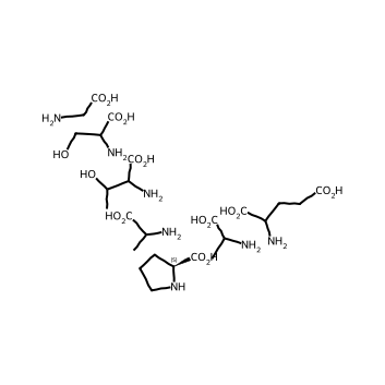 CC(N)C(=O)O.CC(N)C(=O)O.CC(O)C(N)C(=O)O.NC(CCC(=O)O)C(=O)O.NC(CO)C(=O)O.NCC(=O)O.O=C(O)[C@@H]1CCCN1